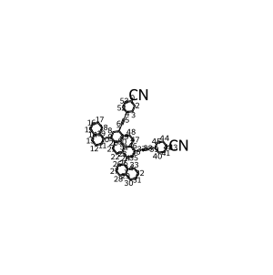 N#Cc1ccc(C#Cc2cc(-c3cccc4ccccc34)c3ccc4c(-c5cccc6ccccc56)cc(C#Cc5ccc(C#N)cc5)c5ccc2c3c54)cc1